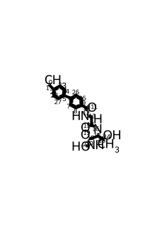 CCc1ccc(-c2ccc(C(=O)NCC(=O)N[C@H](C(=O)NO)[C@@H](C)O)cc2)cc1